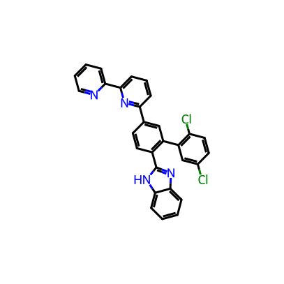 Clc1ccc(Cl)c(-c2cc(-c3cccc(-c4ccccn4)n3)ccc2-c2nc3ccccc3[nH]2)c1